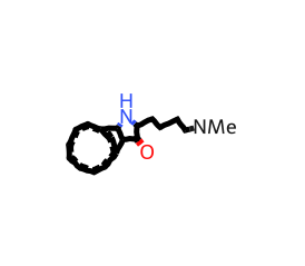 CNCCCCC1NC2c3cccccccc(c3)C2C1=O